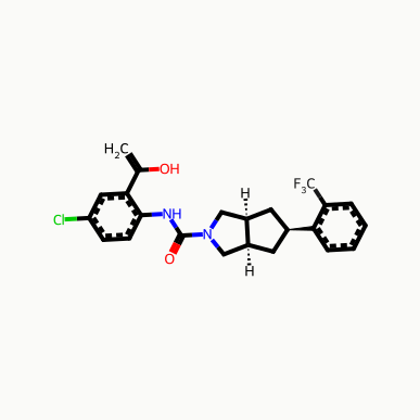 C=C(O)c1cc(Cl)ccc1NC(=O)N1C[C@H]2C[C@@H](c3ccccc3C(F)(F)F)C[C@H]2C1